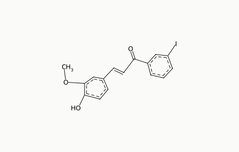 COc1cc(/C=C/C(=O)c2cccc(I)c2)ccc1O